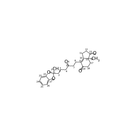 CC1(CCCC(=O)CCC2=C3CCC(=O)C3(C)CCC2=O)Oc2ccccc2O1